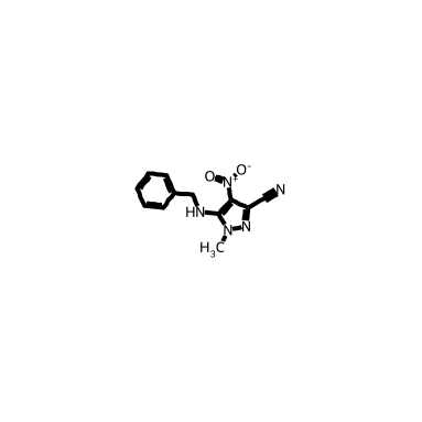 Cn1nc(C#N)c([N+](=O)[O-])c1NCc1ccccc1